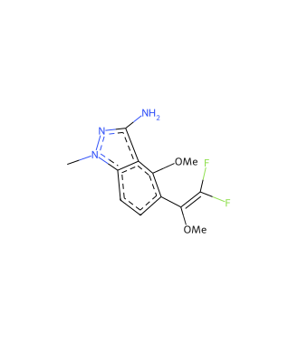 COC(=C(F)F)c1ccc2c(c(N)nn2C)c1OC